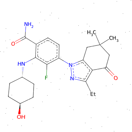 CCc1nn(-c2ccc(C(N)=O)c(N[C@H]3CC[C@H](O)CC3)c2F)c2c1C(=O)CC(C)(C)C2